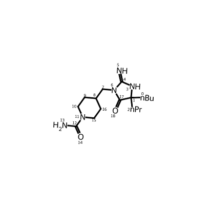 CCCCC1(CCC)NC(=N)N(CC2CCN(C(N)=O)CC2)C1=O